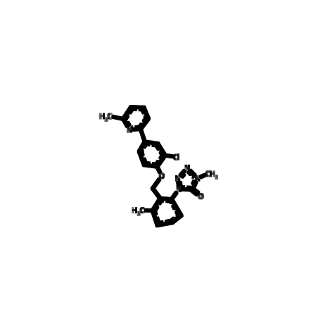 Cc1cccc(-c2ccc(OCc3c(C)cccc3-n3nnn(C)c3=O)c(Cl)c2)n1